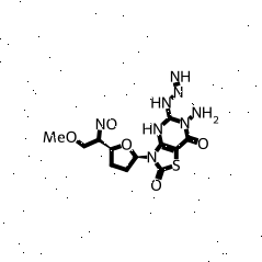 COCC(N=O)[C@@H]1CC[C@H](n2c3c(sc2=O)C(=O)N(N)C(NN=N)N3)O1